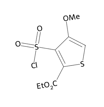 CCOC(=O)c1scc(OC)c1S(=O)(=O)Cl